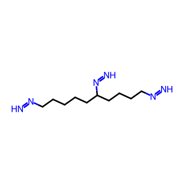 N=NCCCCCC(CCCCN=N)N=N